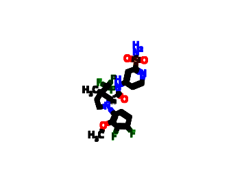 COc1c(N2CCC(C)(C(F)(F)F)[C@@H]2C(=O)Nc2ccnc(S(N)(=O)=O)c2)ccc(F)c1F